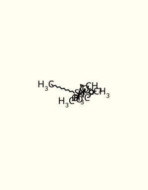 CCCCCCCCCCCCS/C(=N\N(CC1CC1)C(=O)Cc1c(CC)cc(C)cc1CC)C(=O)OCC